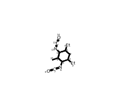 CCC1CC(CC)C(N=C=O)C(C)C1N=C=O